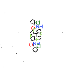 O=C(Nc1ccc(F)[c]([Ti]([C]2=CC=CC2)([C]2=CC=CC2)[c]2c(F)ccc(NC(=O)c3ccccc3Cl)c2F)c1F)c1ccccc1Cl